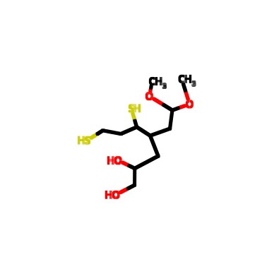 COC(CC(CC(O)CO)C(S)CCS)OC